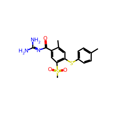 Cc1ccc(Sc2cc(C)c(C(=O)N=C(N)N)cc2S(C)(=O)=O)cc1